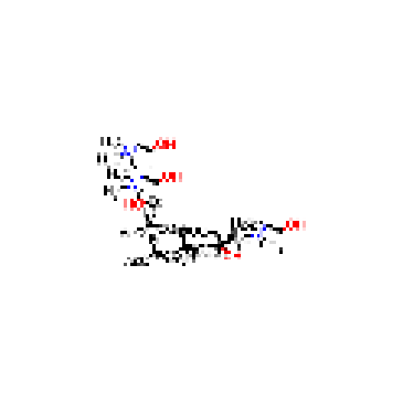 CCC(OC(C)=O)C(=O)O.CCC(OC(C)=O)C(=O)O.CCC(OC(C)=O)C(=O)O.CCO.C[N+](C)(C)CCO.C[N+](C)(C)CCO.C[N+](C)(C)CCO.O=C([O-])CC(O)(CC(=O)[O-])C(=O)[O-]